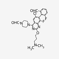 CN(C)CCCOc1nc(N2CCN(C=O)CC2)c2cc(Cl)c(-c3c(F)cccc3C=O)c(F)c2n1